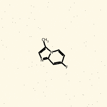 Cc1cnc2cc(F)ccn12